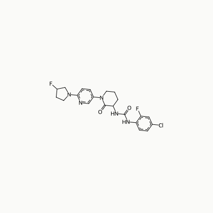 O=C(Nc1ccc(Cl)cc1F)NC1CCCN(c2ccc(N3CCC(F)C3)nc2)C1=O